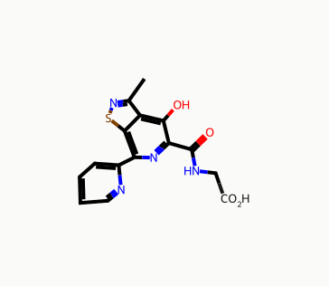 Cc1nsc2c(-c3ccccn3)nc(C(=O)NCC(=O)O)c(O)c12